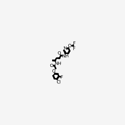 C=C(CCC(=O)Nc1ccc(OC(F)F)nc1)NC(=O)COc1ccc(Cl)c(F)c1